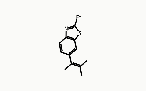 CCc1nc2ccc(C(C)=C(C)C)cc2s1